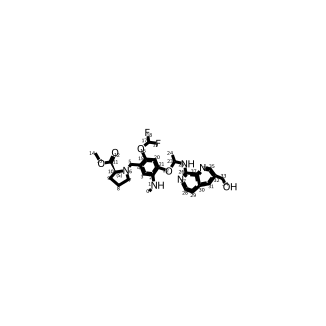 CNc1cc(CN2CCC[C@H]2C(=O)OC)c(OC(F)F)cc1OC(C)Nc1nccc2cc(CO)cnc12